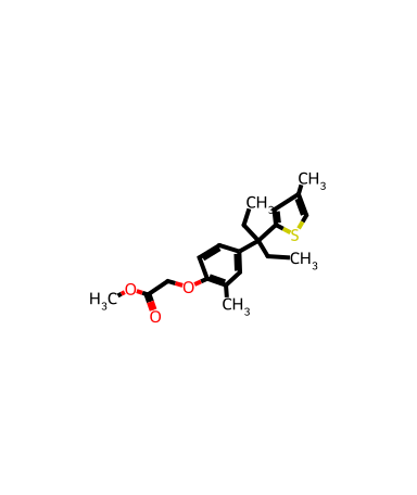 CCC(CC)(c1ccc(OCC(=O)OC)c(C)c1)c1cc(C)cs1